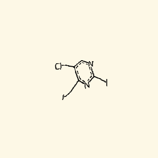 Clc1cnc(I)nc1I